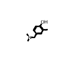 Cc1cc(CN(C)C)ccc1O